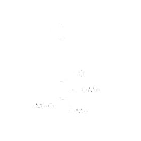 COc1ccc(C(=O)/C=C/c2ccccc2)c(OC)c1OC